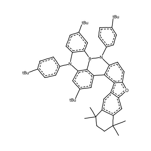 CC(C)(C)c1ccc(N2B3c4cc(C(C)(C)C)ccc4N(c4ccc(C(C)(C)C)cc4)c4cc(C(C)(C)C)cc(c43)-c3c2ccc2oc4cc5c(cc4c32)C(C)(C)CCC5(C)C)cc1